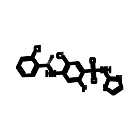 C[C@H](Nc1cc(F)c(S(=O)(=O)Nc2nccs2)cc1Cl)c1ccccc1Cl